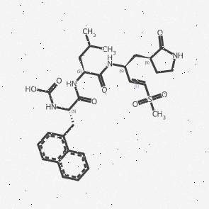 CC(C)C[C@H](NC(=O)[C@H](Cc1cccc2ccccc12)NC(=O)O)C(=O)N[C@H](/C=C/S(C)(=O)=O)C[C@@H]1CCNC1=O